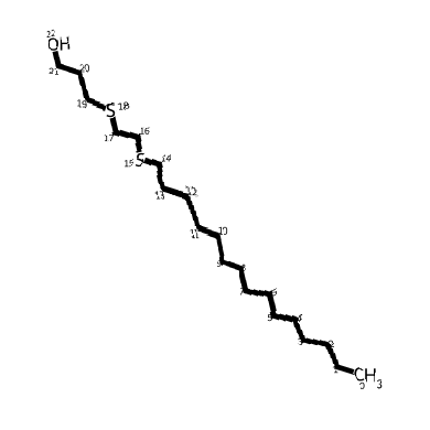 CCCCCCCCCCCCCCCSCCSCCCO